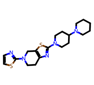 c1csc(N2CCc3nc(N4CCC(N5CCCCC5)CC4)sc3C2)n1